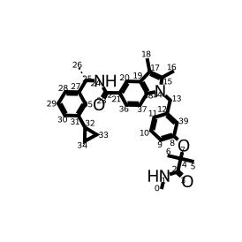 CNC(=O)C(C)(C)Oc1cccc(Cn2c(C)c(C)c3cc(C(=O)N[C@@H](C)c4cccc(C5CC5)c4)ccc32)c1